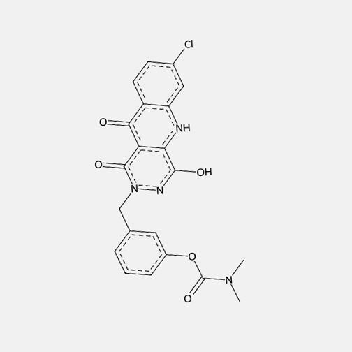 CN(C)C(=O)Oc1cccc(Cn2nc(O)c3[nH]c4cc(Cl)ccc4c(=O)c3c2=O)c1